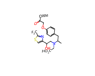 COC(=O)COc1ccc(CC(C)N(CC(=O)O)CC(O)c2csc(C(F)(F)F)n2)cc1